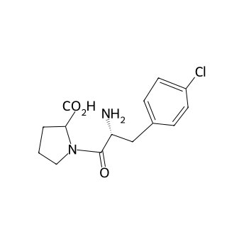 N[C@H](Cc1ccc(Cl)cc1)C(=O)N1CCCC1C(=O)O